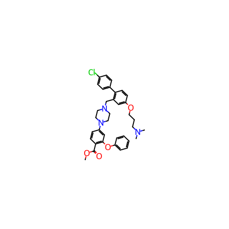 COC(=O)c1ccc(N2CCN(Cc3cc(OCCCN(C)C)ccc3-c3ccc(Cl)cc3)CC2)cc1Oc1ccccc1